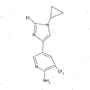 CCc1nc(-c2cnc(N)c(C(F)(F)F)c2)cn1C1CC1